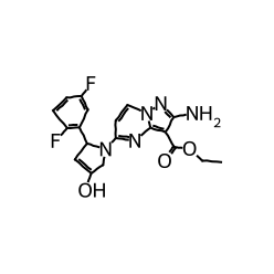 CCOC(=O)c1c(N)nn2ccc(N3CC(O)=CC3c3cc(F)ccc3F)nc12